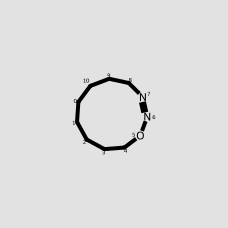 C1CCCCON=NCCC1